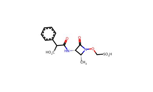 C[C@@H]1[C@H](NC(=O)C(C(=O)O)c2ccccc2)C(=O)N1OCS(=O)(=O)O